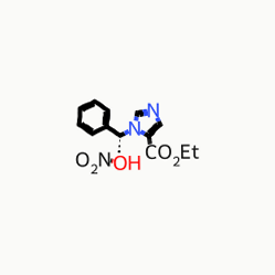 CCOC(=O)c1cncn1[C@H](C)c1ccccc1.O=[N+]([O-])O